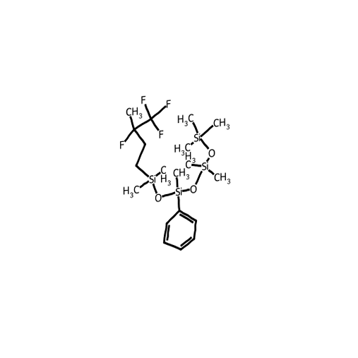 CC(F)(CC[Si](C)(C)O[Si](C)(O[Si](C)(C)O[Si](C)(C)C)c1ccccc1)C(F)(F)F